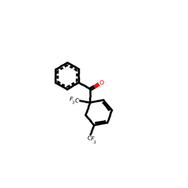 O=C(c1ccccc1)C1(C(F)(F)F)C=CC=C(C(F)(F)F)C1